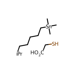 CC(C)CCCC[CH2][Sn]([CH3])([CH3])[CH3].O=C(O)CS